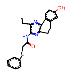 CCc1nc2c(nc1NC(=O)CCc1ccccc1)CCc1cc(O)ccc1-2